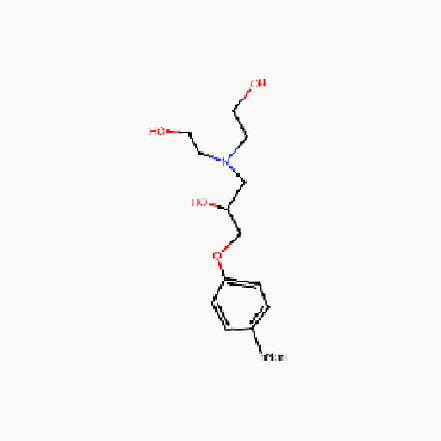 CCCCCCCCCc1ccc(OCC(O)CN(CCO)CCO)cc1